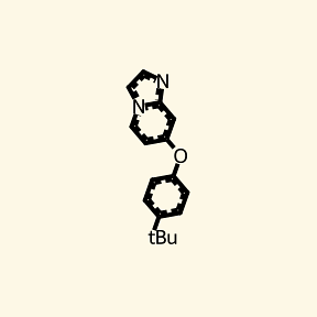 CC(C)(C)c1ccc(Oc2ccn3ccnc3c2)cc1